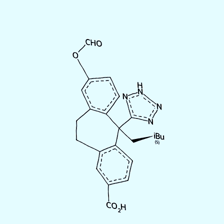 CC[C@H](C)CC1(c2nn[nH]n2)c2ccc(OC=O)cc2CCc2cc(C(=O)O)ccc21